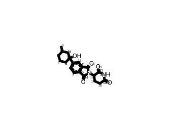 CC1CCCC(O)(c2ccc3c(c2)C(=O)N(C2CCC(=O)NC2=O)C3=O)C1